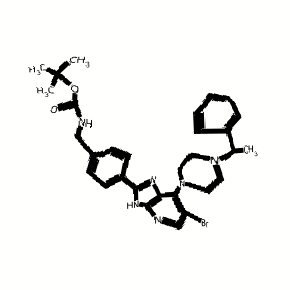 CC(c1ccccc1)N1CCN(c2c(Br)cnc3[nH]c(-c4ccc(CNC(=O)OC(C)(C)C)cc4)nc23)CC1